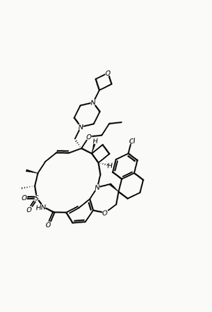 CCCO[C@]1(CN2CCN(C3COC3)CC2)/C=C/C[C@H](C)[C@@H](C)S(=O)(=O)NC(=O)c2ccc3c(c2)N(C[C@@H]2CC[C@H]21)C[C@@]1(CCCc2cc(Cl)ccc21)CO3